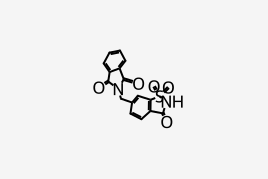 O=C1NS(=O)(=O)c2cc(CN3C(=O)c4ccccc4C3=O)ccc21